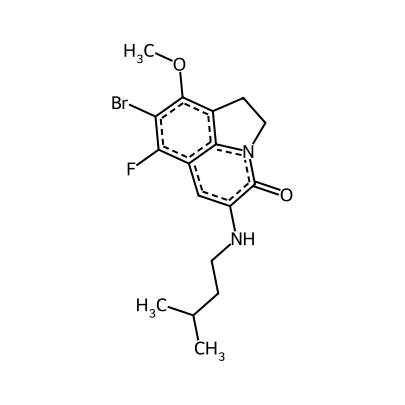 COc1c(Br)c(F)c2cc(NCCC(C)C)c(=O)n3c2c1CC3